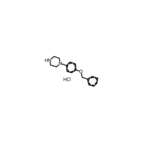 Cl.c1ccc(COc2ccc(N3CCNCC3)cc2)cc1